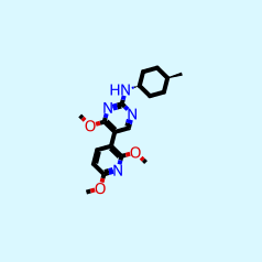 COc1ccc(-c2cnc(N[C@H]3CC[C@H](C)CC3)nc2OC)c(OC)n1